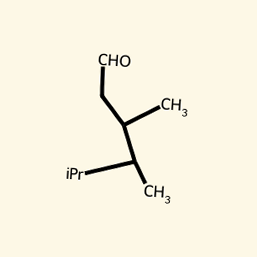 CC(C)C(C)C(C)CC=O